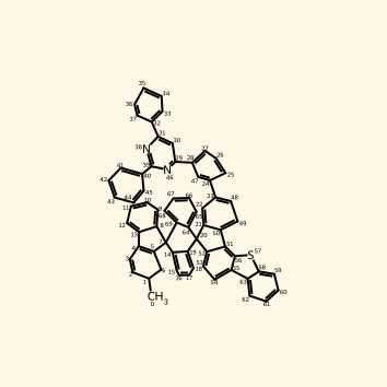 CC1C=CC2=C(C1)C1(c3ccccc32)c2ccccc2C2(c3cc(-c4cccc(-c5cc(-c6ccccc6)nc(-c6ccccc6)n5)c4)ccc3-c3c2ccc2c3sc3ccccc32)c2ccccc21